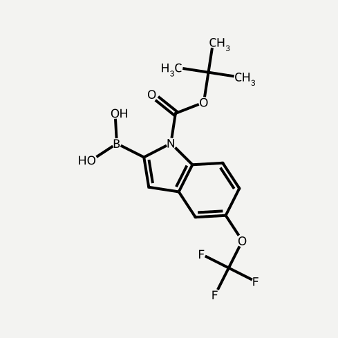 CC(C)(C)OC(=O)n1c(B(O)O)cc2cc(OC(F)(F)F)ccc21